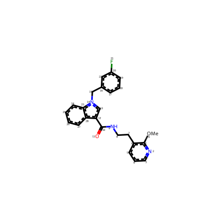 COc1ncccc1CCNC(=O)c1cn(Cc2cccc(F)c2)c2ccccc12